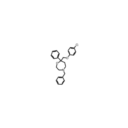 Clc1ccc(OCC2(c3ccccc3)CCN(Cc3ccccc3)CCO2)cc1